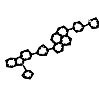 c1ccc(-n2c3ccccc3c3ccc(-c4ccc(-c5ccc6ccc7c(-c8ccc(-c9ccccn9)cc8)ccc8ccc5c6c87)cc4)cc32)cc1